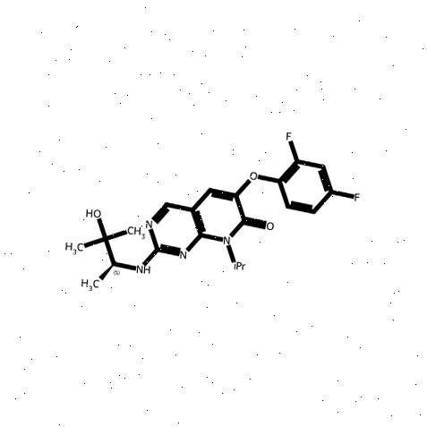 CC(C)n1c(=O)c(Oc2ccc(F)cc2F)cc2cnc(N[C@@H](C)C(C)(C)O)nc21